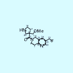 COCC1(C(=O)N2CCc3ncc(CF)cc3C2)CCNC1